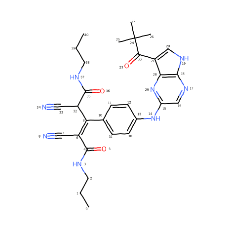 CCCNC(=O)C(C#N)=C(c1ccc(Nc2cnc3[nH]cc(C(=O)C(C)(C)C)c3n2)cc1)C(C#N)C(=O)NCCC